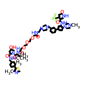 Cc1ncsc1-c1ccc(CNC(=O)[C@@H]2C[C@@H](O)CN2C(=O)[C@@H](NC(=O)COCCOCCOCC(=O)NCCN2CCN(Cc3cccc(-c4ccc(N5CCN(C)CC5)c(NC(=O)c5c[nH]c(=O)cc5C(F)(F)F)c4)c3)CC2)C(C)(C)C)cc1